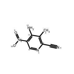 Cc1c(C#N)ncc([N+](=O)[O-])c1N